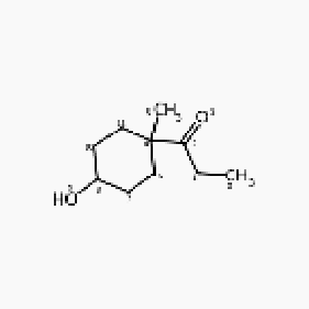 CCC(=O)C1(C)CCC(O)CC1